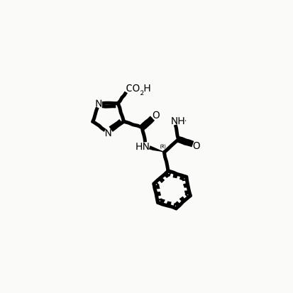 [NH]C(=O)[C@H](NC(=O)C1=NCN=C1C(=O)O)c1ccccc1